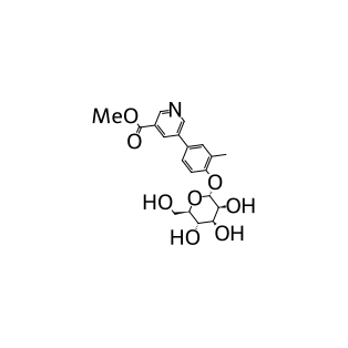 COC(=O)c1cncc(-c2ccc(O[C@H]3O[C@H](CO)[C@@H](O)[C@H](O)[C@@H]3O)c(C)c2)c1